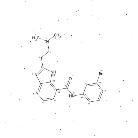 CN(C)CCc1nc2nccc(C(=O)Nc3cccc(Br)c3)c2[nH]1